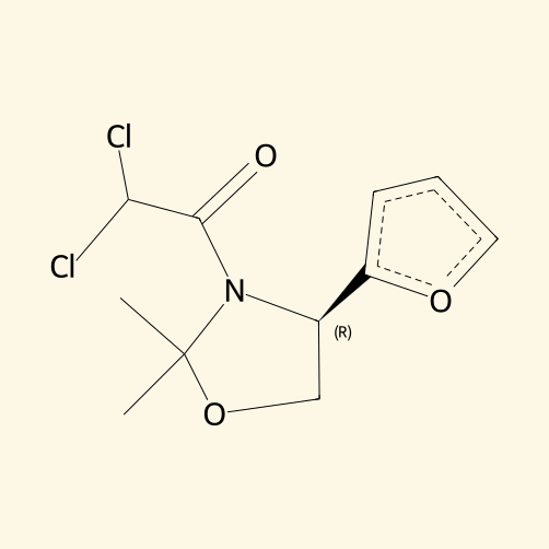 CC1(C)OC[C@H](c2ccco2)N1C(=O)C(Cl)Cl